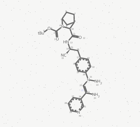 CC(C)(C)OC(=O)N1C2CCC(C2)C1C(=O)N[C@H](C#N)Cc1ccc(N(N)/C=C(\N)c2cccnc2)cc1